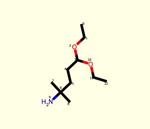 CCOC(CCC(C)(C)N)OCC